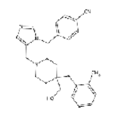 Cc1ccccc1CC1(CO)CCN(Cc2cncn2Cc2ccc(C#N)cc2)CC1